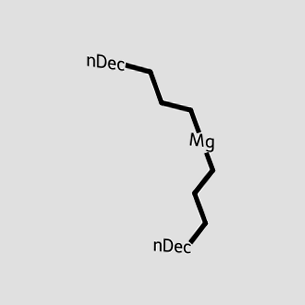 CCCCCCCCCCCC[CH2][Mg][CH2]CCCCCCCCCCCC